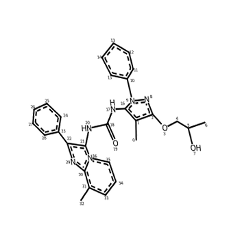 Cc1c(OCC(C)O)nn(-c2ccccc2)c1NC(=O)Nc1c(-c2ccccc2)nc2c(C)cccn12